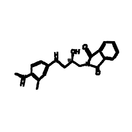 CNc1ccc(NC[C@@H](O)CN2C(=O)c3ccccc3C2=O)cc1C